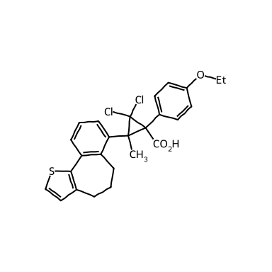 CCOc1ccc(C2(C(=O)O)C(Cl)(Cl)C2(C)c2cccc3c2CCCc2ccsc2-3)cc1